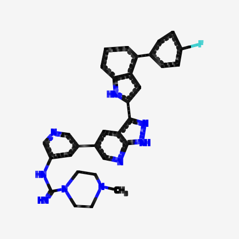 CN1CCN(C(=N)Nc2cncc(-c3cnc4[nH]nc(-c5cc6c(-c7ccc(F)cc7)cccc6[nH]5)c4c3)c2)CC1